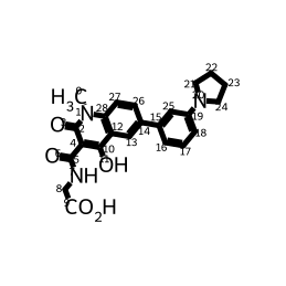 Cn1c(=O)c(C(=O)NCC(=O)O)c(O)c2cc(-c3cccc(N4CCCC4)c3)ccc21